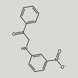 O=C(CNc1cccc([N+](=O)[O-])c1)c1ccccc1